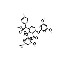 COc1cc(OC)nc(Oc2ccc(C(c3ccc(C)cc3)P(=O)(OC)OC)c(Oc3nc(OC)cc(OC)n3)c2C(=O)O)n1